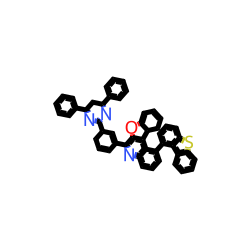 C1=CCC2C(=C1)Oc1c(C3=CC(C4=NC(c5ccccc5)CC(c5ccccc5)=N4)CC=C3)nc3cccc(-c4cccc5sc6ccccc6c45)c3c12